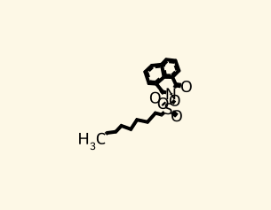 CCCCCCCCCS(=O)(=O)ON1C(=O)c2cccc3cccc(c23)C1=O